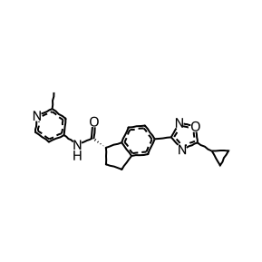 Cc1cc(NC(=O)[C@H]2CCc3cc(-c4noc(C5CC5)n4)ccc32)ccn1